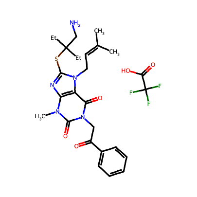 CCC(CC)(CN)Sc1nc2c(c(=O)n(CC(=O)c3ccccc3)c(=O)n2C)n1CC=C(C)C.O=C(O)C(F)(F)F